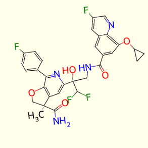 C[C@]1(C(N)=O)COc2c1cc(C(O)(CNC(=O)c1cc(OC3CC3)c3ncc(F)cc3c1)C(F)F)nc2-c1ccc(F)cc1